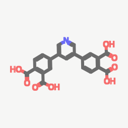 O=C(O)c1ccc(-c2cncc(-c3ccc(C(=O)O)c(C(=O)O)c3)c2)cc1C(=O)O